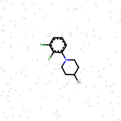 CCC1CCN(c2cccc(F)c2F)CC1